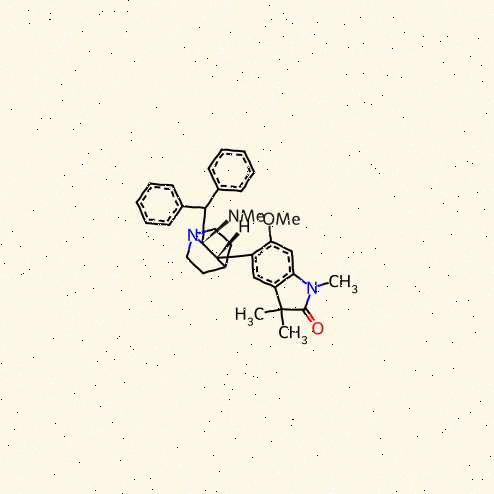 CN[C@@]1(C(c2ccccc2)c2ccccc2)[C@H](c2cc3c(cc2OC)N(C)C(=O)C3(C)C)C2CCN1CC2